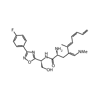 C=C\C=C/C=C(C)/C(=C\NC)C[C@H](N)C(=O)N[C@@H](CO)c1nc(-c2ccc(F)cc2)no1